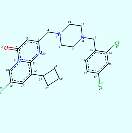 O=c1cc(CN2CCN(Cc3ccc(Cl)cc3Cl)CC2)nc2c(C3CCC3)cc(Cl)cn12